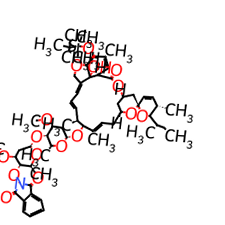 CC[C@@H](C)[C@H]1O[C@]2(C=C[C@@H]1C)C[C@@H]1C[C@@H](C/C=C(\C)[C@@H](O[C@H]3C[C@H](OC)[C@@H](O[C@H]4C[C@H](OC)[C@@H](ON5C(=O)c6ccccc6C5=O)[C@H](C)O4)[C@H](C)O3)[C@@H](C)/C=C/C=C3\CO[C@@H]4[C@H](O[Si](C)(C)C(C)(C)C)C(C)=C[C@@H](C(=O)O1)[C@]34O)O2